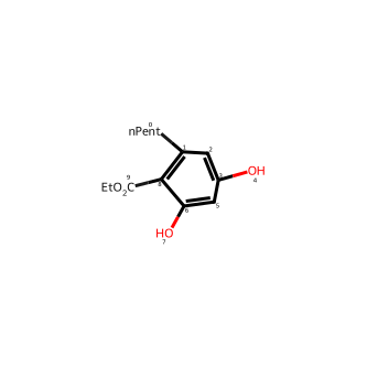 CCCCCc1cc(O)cc(O)c1C(=O)OCC